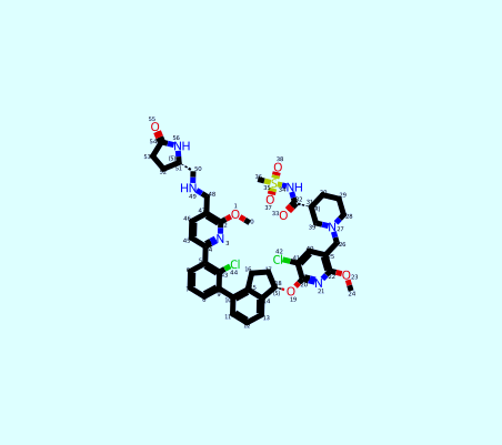 COc1nc(-c2cccc(-c3cccc4c3CC[C@@H]4Oc3nc(OC)c(CN4CCC[C@@H](C(=O)NS(C)(=O)=O)C4)cc3Cl)c2Cl)ccc1CNC[C@@H]1CCC(=O)N1